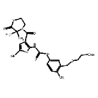 COCCOCc1cc(NC(=O)Nc2sc(C(C)(C)C)cc2C(=O)N2CCNC(=O)C2(C)C)ccc1C